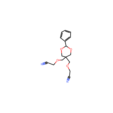 N#CCOCC1(COCC#N)COC(c2ccccc2)OC1